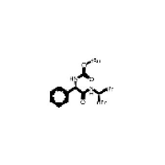 CCC[C@@H](NC(=O)[C@H](NC(=O)OC(C)(C)C)c1ccccc1)C(C)C